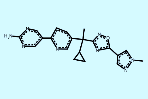 Cn1cc(-c2nc(C(C)(c3ccc(-c4cnc(N)nc4)nc3)C3CC3)no2)cn1